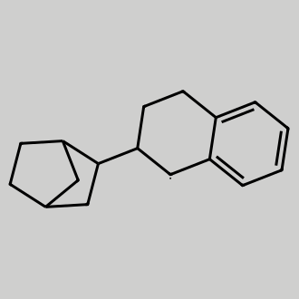 [CH]1c2ccccc2CCC1C1CC2CCC1C2